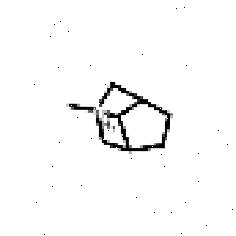 NC1C2CCC1CN(I)C2